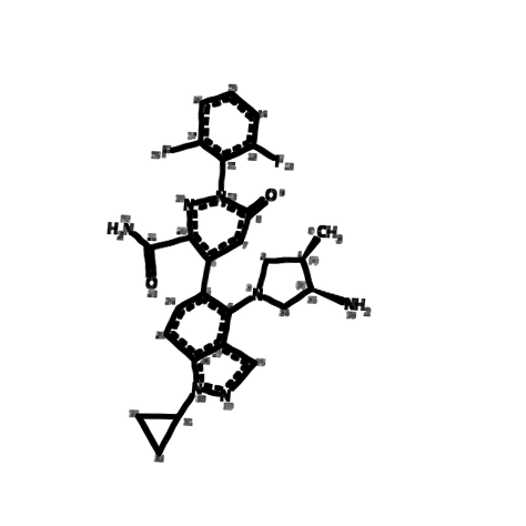 C[C@@H]1CN(c2c(-c3cc(=O)n(-c4c(F)cccc4F)nc3C(N)=O)ccc3c2cnn3C2CC2)C[C@@H]1N